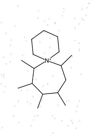 CC1CC(C)[N+]2(CCCCC2)C(C)C(C)C1C